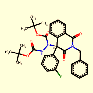 CC(C)(C)OC(=O)NN(C(=O)OC(C)(C)C)[C@]1(c2cccc(F)c2)C(=O)N(Cc2ccccc2)C(=O)c2ccccc21